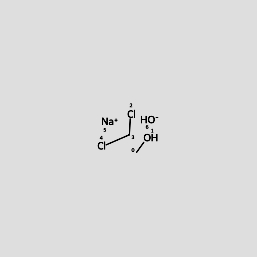 CO.ClCCl.[Na+].[OH-]